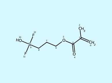 C=C(C)C(=O)OCCC[Si](O)(F)F